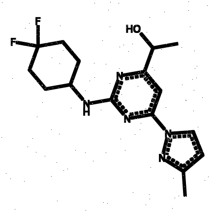 Cc1ccn(-c2cc(C(C)O)nc(NC3CCC(F)(F)CC3)n2)n1